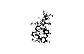 CC[C@H](C)[C@@H]([C@@H](CC(=O)N1CCC[C@H]1[C@H](OC)[C@@H](C)C(=S)N[C@@H](Cc1ccccc1)C(=O)OC)OC)N(C)C(=O)[C@@H](NC(=O)C(C)(C)NC)C(C)C